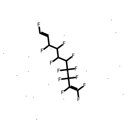 FC=CC(F)C(F)C(F)C(F)C(F)(F)C(F)(F)C(F)=C(F)F